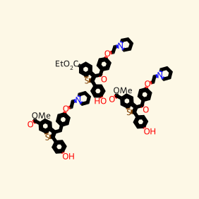 CCOC(=O)c1ccc2c(C(=O)c3ccc(OCCN4CCCCC4)cc3)c(-c3ccc(O)cc3)sc2c1.COC(=O)c1ccc2c(C(=O)c3ccc(OCCN4CCCCC4)cc3)c(-c3ccc(O)cc3)sc2c1.COC(=O)c1ccc2c(Cc3ccc(OCCN4CCCCC4)cc3)c(-c3ccc(O)cc3)sc2c1